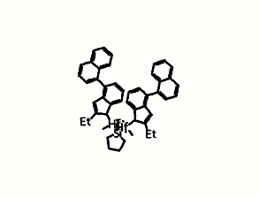 CCC1=Cc2c(-c3cccc4ccccc34)cccc2[CH]1[Hf]([CH3])([CH3])[Si]1([Hf]([CH3])([CH3])[CH]2C(CC)=Cc3c(-c4cccc5ccccc45)cccc32)CCCC1